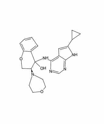 OC1(Nc2ncnc3[nH]c(C4CC4)cc23)c2ccccc2OC[C@@H]1N1CCOCC1